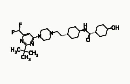 CC(C)(C)c1nc(C(F)F)cc(N2CCN(CC[C@H]3CC[C@H](NC(=O)[C@H]4CC[C@H](O)CC4)CC3)CC2)n1